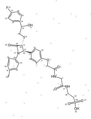 O=C(CNC(=O)COc1ccc([C@@H]2[C@@H](SCC(O)c3ccc(F)cc3)C(=O)N2c2ccc(F)cc2)cc1)NCCS(=O)(=O)O